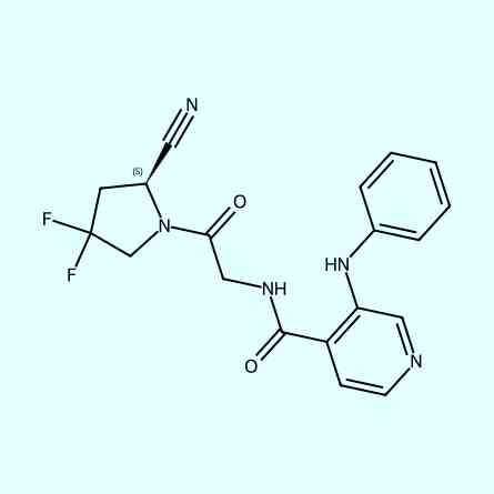 N#C[C@@H]1CC(F)(F)CN1C(=O)CNC(=O)c1ccncc1Nc1ccccc1